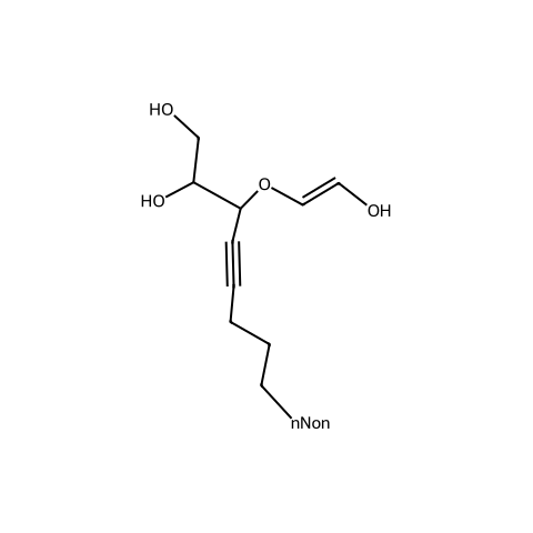 CCCCCCCCCCCCC#CC(OC=CO)C(O)CO